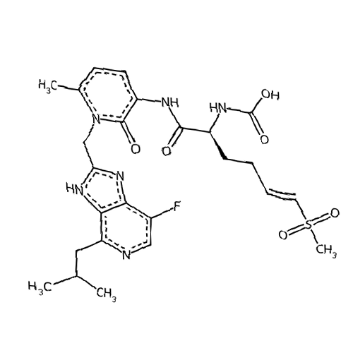 Cc1ccc(NC(=O)[C@H](CC/C=C/S(C)(=O)=O)NC(=O)O)c(=O)n1Cc1nc2c(F)cnc(CC(C)C)c2[nH]1